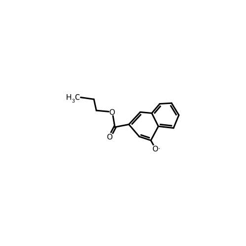 CCCOC(=O)c1cc([O])c2ccccc2c1